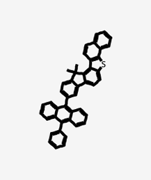 CC1(C)c2ccc(-c3c4ccccc4c(-c4ccccc4)c4ccccc34)cc2-c2ccc3sc4c5ccccc5ccc4c3c21